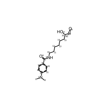 CN(C)c1ccc(C(=O)NCCCCCC[C@@H](O)N=O)cc1